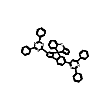 c1ccc(-c2cc(-c3ccc4c(c3)C3(c5ccccc5Oc5ccccc53)c3cc(-c5nc(-c6ccccc6)nc(-c6ccccc6)n5)ccc3-4)nc(-c3ccccc3)n2)cc1